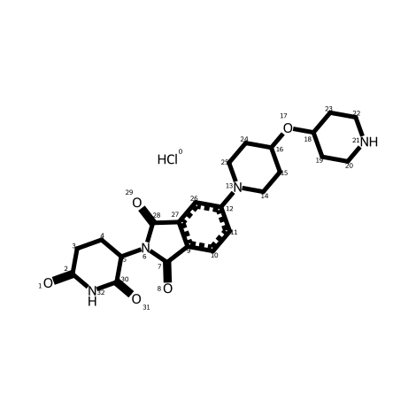 Cl.O=C1CCC(N2C(=O)c3ccc(N4CCC(OC5CCNCC5)CC4)cc3C2=O)C(=O)N1